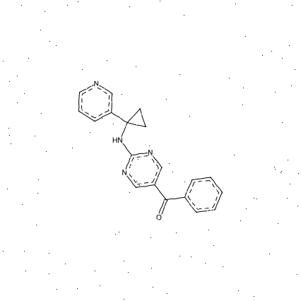 O=C(c1ccccc1)c1cnc(NC2(c3cccnc3)CC2)nc1